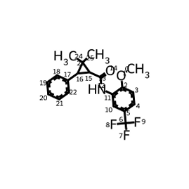 COc1ccc(C(F)(F)F)cc1NC(=O)C1C(c2ccccc2)C1(C)C